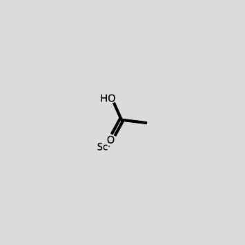 CC(=O)O.[Sc]